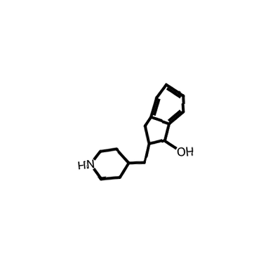 OC1c2ccccc2CC1CC1CCNCC1